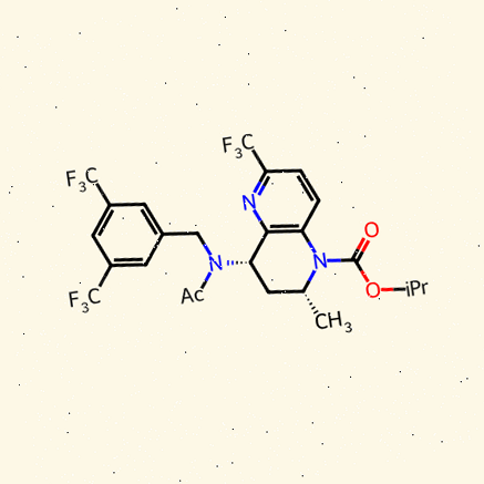 CC(=O)N(Cc1cc(C(F)(F)F)cc(C(F)(F)F)c1)[C@H]1C[C@@H](C)N(C(=O)OC(C)C)c2ccc(C(F)(F)F)nc21